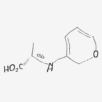 C[C@H](NC1=CC=COC1)C(=O)O